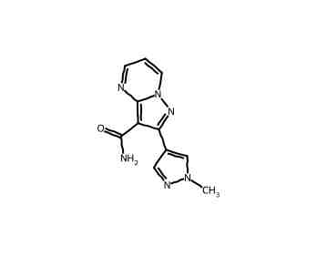 Cn1cc(-c2nn3cccnc3c2C(N)=O)cn1